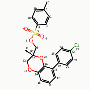 Cc1ccc(S(=O)(=O)OC[C@@]2(C)COc3cccc(-c4ccc(Cl)cc4)c3O2)cc1